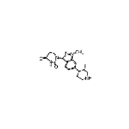 Cn1nc(N2CCC(=O)NC2=O)c2ccc(C3CCNCC3F)cc21